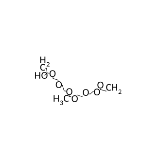 C=CC(=O)OCCOCCOC(C)OCCOCCOC(O)C=C